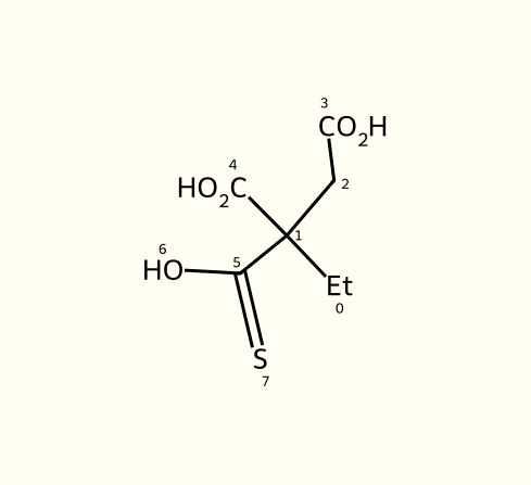 CCC(CC(=O)O)(C(=O)O)C(O)=S